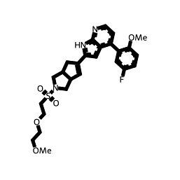 COCCOCCS(=O)(=O)N1CC2C=C(c3cc4c(-c5cc(F)ccc5OC)ccnc4[nH]3)CC2C1